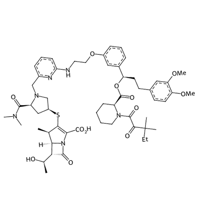 CCC(C)(C)C(=O)C(=O)N1CCCC[C@H]1C(=O)O[C@H](CCc1ccc(OC)c(OC)c1)c1cccc(OCCNc2cccc(CN3C[C@@H](SC4=C(C(=O)O)N5C(=O)[C@H]([C@@H](C)O)[C@H]5[C@H]4C)C[C@H]3C(=O)N(C)C)n2)c1